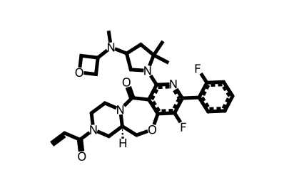 C=CC(=O)N1CCN2C(=O)c3c(N4CC(N(C)C5COC5)CC4(C)C)nc(-c4ccccc4F)c(F)c3OC[C@H]2C1